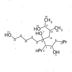 CCCC(C(O)CC(C)C)C(O)(CCCCCO)CC(C)C(C)O